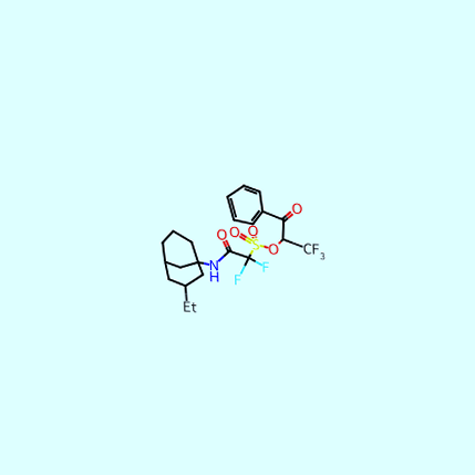 CCC1CC2CCCC(NC(=O)C(F)(F)S(=O)(=O)OC(C(=O)c3ccccc3)C(F)(F)F)(C1)C2